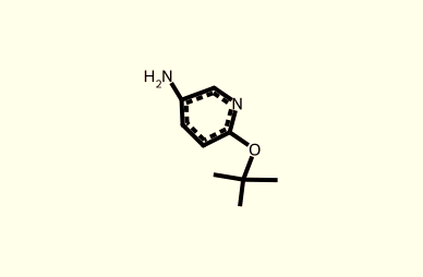 CC(C)(C)Oc1ccc(N)cn1